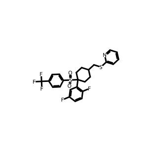 O=S(=O)(c1ccc(C(F)(F)F)cc1)C1(c2cc(F)ccc2F)CCC(CSc2ccccn2)CC1